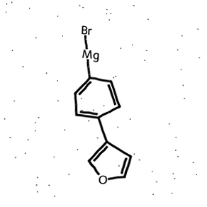 [Br][Mg][c]1ccc(-c2ccoc2)cc1